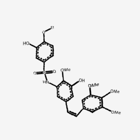 CCOc1ccc(S(=O)(=O)Nc2cc(/C=C\c3cc(OC)c(OC)c(OC)c3)cc(O)c2OC)cc1O